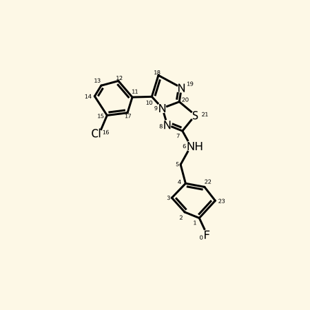 Fc1ccc(CNc2nn3c(-c4cccc(Cl)c4)cnc3s2)cc1